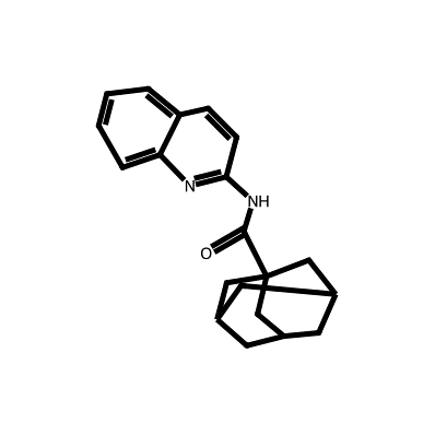 O=C(Nc1ccc2ccccc2n1)C12CC3CC(CC(C3)C1)C2